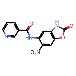 O=C(Nc1cc2[nH]c(=O)oc2cc1[N+](=O)[O-])c1cccnc1